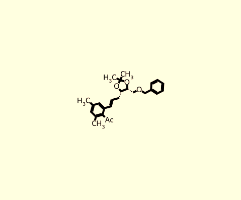 CC(=O)c1c(C)cc(C)cc1/C=C/C[C@@H]1OC(C)(C)O[C@@H]1COCc1ccccc1